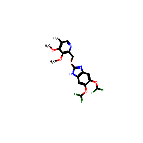 COc1c(C)cnc(CSc2nc3cc(OC(F)F)c(OC(F)F)cc3[nH]2)c1OC